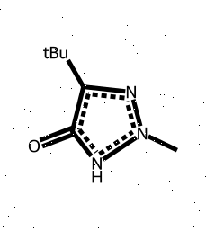 Cn1nc(C(C)(C)C)c(=O)[nH]1